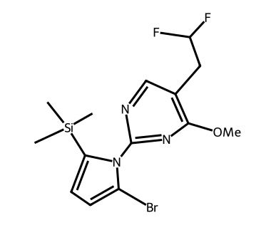 COc1nc(-n2c(Br)ccc2[Si](C)(C)C)ncc1CC(F)F